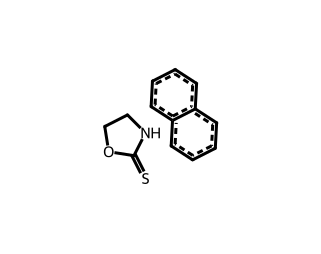 S=C1NCCO1.c1ccc2ccccc2c1